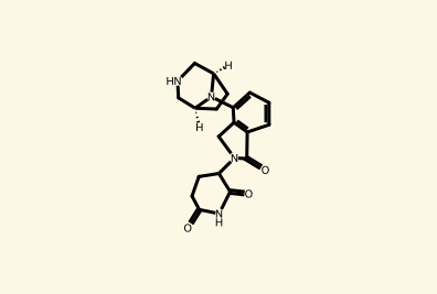 O=C1CCC(N2Cc3c(cccc3N3[C@@H]4CC[C@H]3CNC4)C2=O)C(=O)N1